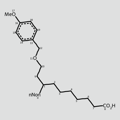 CCCCCCCCCC(CCCCCCC(=O)O)CCOCc1ccc(OC)cc1